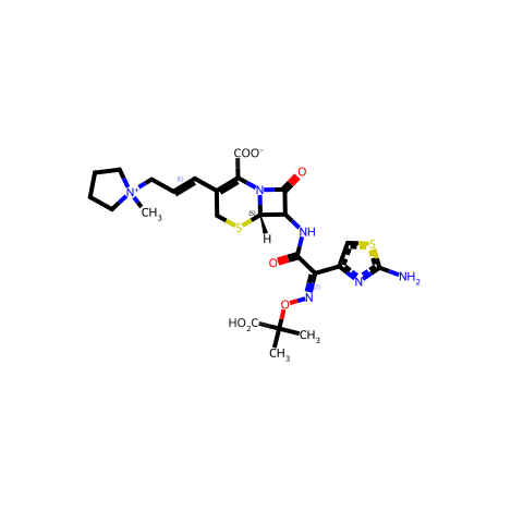 CC(C)(O/N=C(\C(=O)NC1C(=O)N2C(C(=O)[O-])=C(/C=C/C[N+]3(C)CCCC3)CS[C@@H]12)c1csc(N)n1)C(=O)O